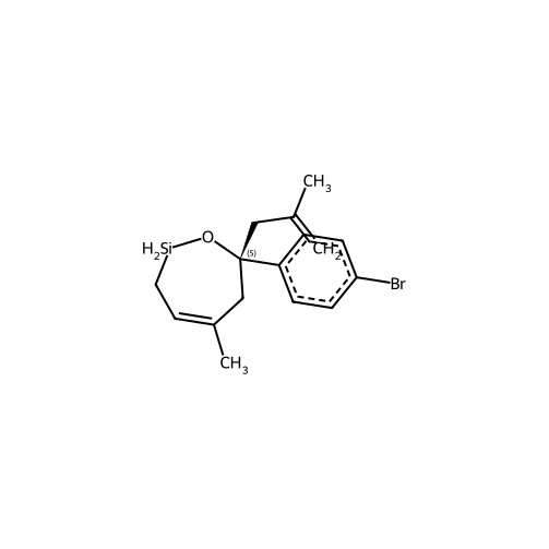 C=C(C)C[C@@]1(c2ccc(Br)cc2)CC(C)=CC[SiH2]O1